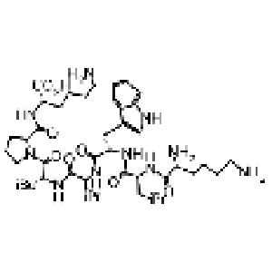 CC[C@H](C)[C@H](NC(=O)[C@@H](NC(=O)[C@H](Cc1c[nH]c2ccccc12)NC(=O)[C@H](CC(C)C)NC(=O)[C@@H](N)CCCCN)C(C)C)C(=O)N1CCC[C@H]1C(=O)N[C@@H](CCCCN)C(=O)O